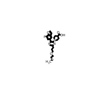 COCCOCCCc1cnc(-c2cc(F)c3occc3c2)c(N2CCC(C(=O)O)CC2)n1